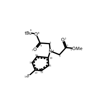 COC(=O)CN(CC(=O)OC(C)(C)C)c1ccc(F)cc1